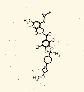 COC1CN(C2CCC(C3(C)Oc4c(Cl)cc(C(=O)NCc5c(SC6CC6F)cc(C)[nH]c5=O)c(C)c4O3)CC2)C1